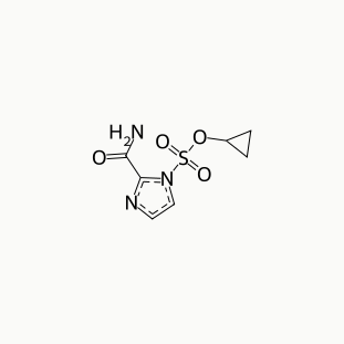 NC(=O)c1nccn1S(=O)(=O)OC1CC1